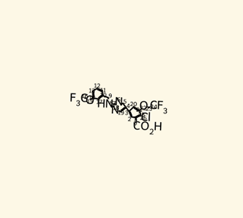 O=C(O)c1cc(-c2cnc(NCc3cccc(OC(F)(F)F)c3)nc2)cc(OCC(F)(F)F)c1Cl